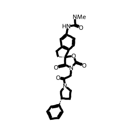 CNC(=O)Nc1ccc2c(c1)CC[C@@]21OC(=O)N(CC(=O)N2CC[C@H](c3ccccc3)C2)C1=O